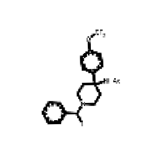 CC(=O)NC1(c2ccc(OC(F)(F)F)cc2)CCN(C(I)c2ccccc2)CC1